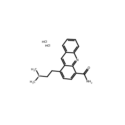 CN(C)CCc1ccc(C(N)=O)c2nc3ccccc3cc12.Cl.Cl